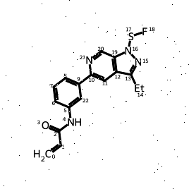 C=CC(=O)Nc1cccc(-c2cc3c(CC)nn(SF)c3cn2)c1